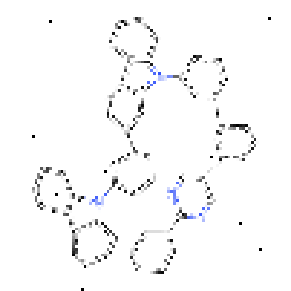 c1ccc(-c2ncc(-c3cccc(-c4cccc(-n5c6ccccc6c6ccc(-c7cccc(-n8c9ccccc9c9ccccc98)c7)cc65)c4)c3)cn2)cc1